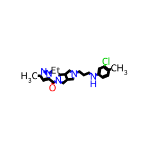 CCn1nc(C)cc1C(=O)N1CC2CN(CCCNc3ccc(C)c(Cl)c3)CC2C1